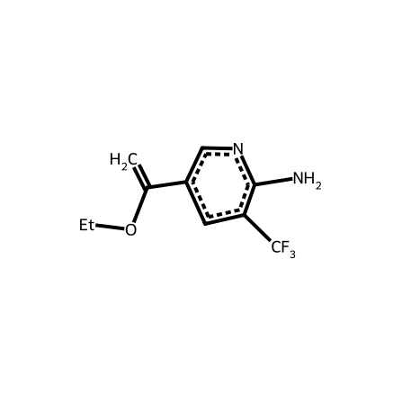 C=C(OCC)c1cnc(N)c(C(F)(F)F)c1